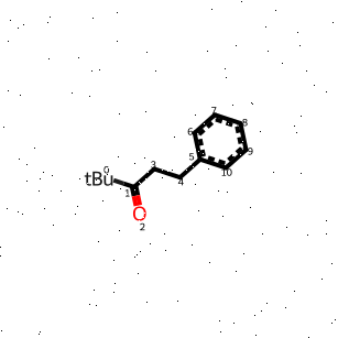 CC(C)(C)C(=O)CCc1ccccc1